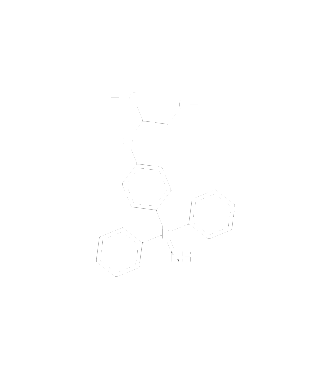 CCC(C)Oc1ccc(P(=N)(c2ccccc2)c2ccccc2)cc1